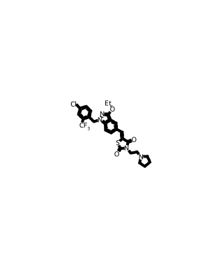 CCOc1nn(Cc2ccc(Cl)cc2C(F)(F)F)c2ccc(/C=C3\SC(=O)N(CCN4CCCC4)C3=O)cc12